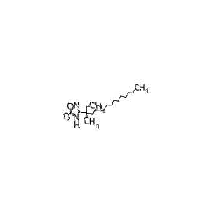 CCCCCCCCCCCCC(C)(CC)c1noc(=O)[nH]1